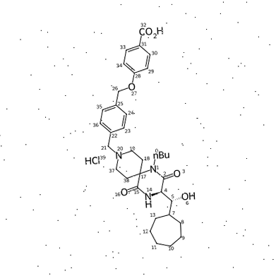 CCCCN1C(=O)[C@@H]([C@H](O)C2CCCCCC2)NC(=O)C12CCN(Cc1ccc(COc3ccc(C(=O)O)cc3)cc1)CC2.Cl